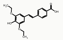 CCOc1cc(C=Cc2ccc(C(=O)O)cc2)cc(OCC)c1O